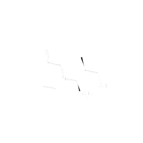 C=CCN(CC=C)[C@H](C(=O)O)[C@@H](C)[C@H](C)O